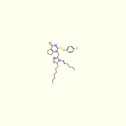 CCCCC=CN1C(Cn2c(SCc3ccc(F)cc3)nc(=O)c3c2CCC3)=NOC1CCCCCCC